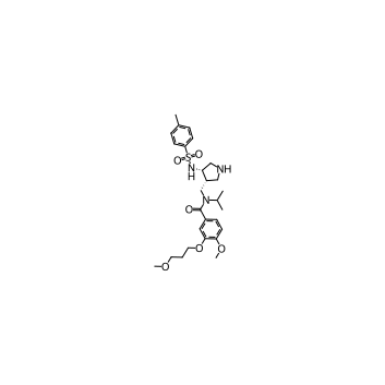 COCCCOc1cc(C(=O)N(C[C@H]2CNC[C@H]2NS(=O)(=O)c2ccc(C)cc2)C(C)C)ccc1OC